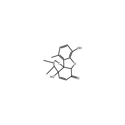 Cc1ccc(O)c2c1C13CCN(C)C(C)C1(O)C=CC(=O)C3O2